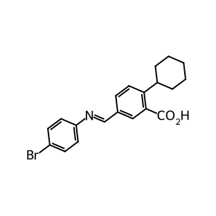 O=C(O)c1cc(C=Nc2ccc(Br)cc2)ccc1C1CCCCC1